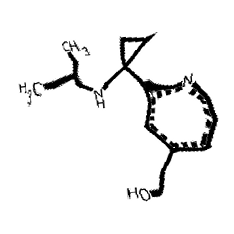 CC(C)NC1(c2cc(CO)ccn2)CC1